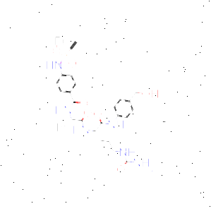 C#CP(=O)(Nc1ccc(C(=O)N[C@H](C(=O)N[C@@H](CCCNC(N)=O)C(=O)Nc2ccc(CO)cc2)C(C)C)cc1)OCC